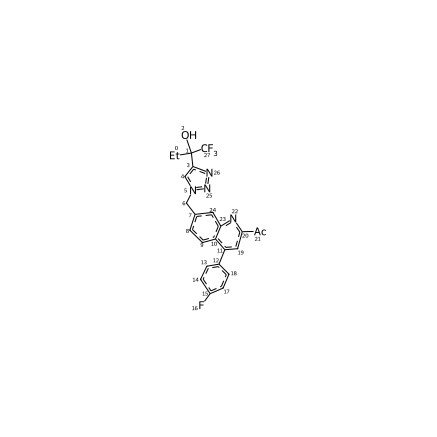 CCC(O)(c1cn(Cc2ccc3c(-c4ccc(F)cc4)cc(C(C)=O)nc3c2)nn1)C(F)(F)F